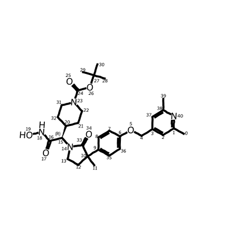 Cc1cc(COc2ccc(C3(C)CCN([C@@H](C(=O)NO)C4CCN(C(=O)OC(C)(C)C)CC4)C3=O)cc2)cc(C)n1